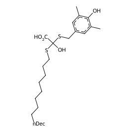 CCCCCCCCCCCCCCCCCCSC(O)(SCc1cc(C)c(O)c(C)c1)C(=O)O